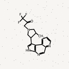 CC1CN(CC(=O)C(F)(F)F)CC1c1c[nH]c2ncc3ncccc3c12